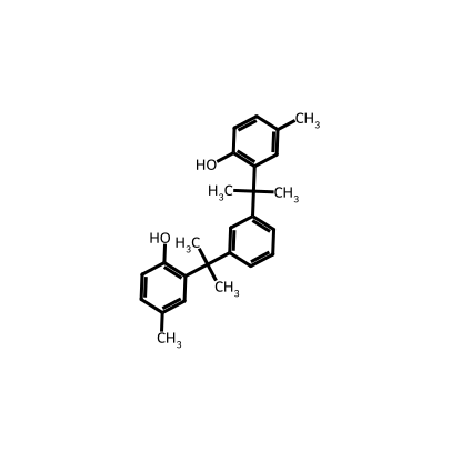 Cc1ccc(O)c(C(C)(C)c2cccc(C(C)(C)c3cc(C)ccc3O)c2)c1